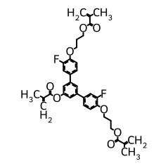 C=C(C)C(=O)OCCCOc1ccc(-c2cc(OC(=O)C(=C)C)cc(-c3ccc(OCCCOC(=O)C(=C)C)c(F)c3)c2)cc1F